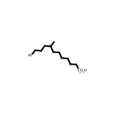 CC(C)CCCC(C)CCCCCCC(=O)O